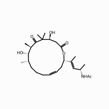 CC(=O)N[C@@H](C)/C=C(\C)[C@@H]1C/C=C\CCC[C@H](C)[C@H](O)[C@@H](C)C(=O)C(C)(C)[C@@H](O)CC(=O)O1